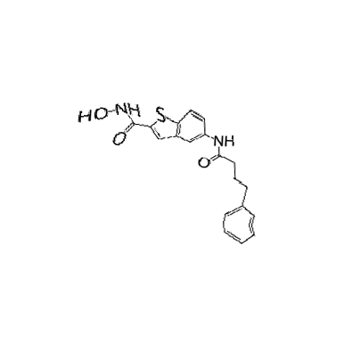 O=C(CCCc1ccccc1)Nc1ccc2sc(C(=O)NO)cc2c1